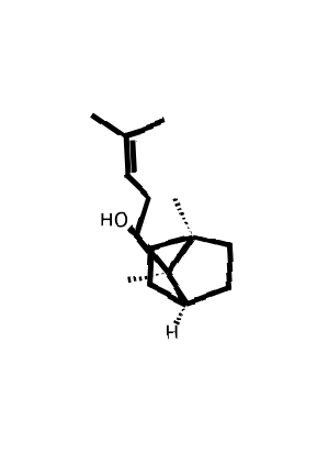 CC(C)=CCC[C@]1(C)[C@H]2CC[C@]1(C)[C@H](O)C2